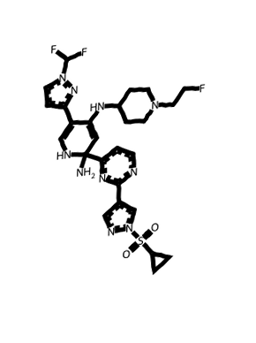 NC1(c2ccnc(-c3cnn(S(=O)(=O)C4CC4)c3)n2)C=C(NC2CCN(CCF)CC2)C(c2ccn(C(F)F)n2)=CN1